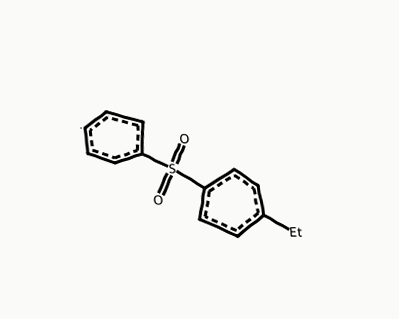 CCc1ccc(S(=O)(=O)c2cc[c]cc2)cc1